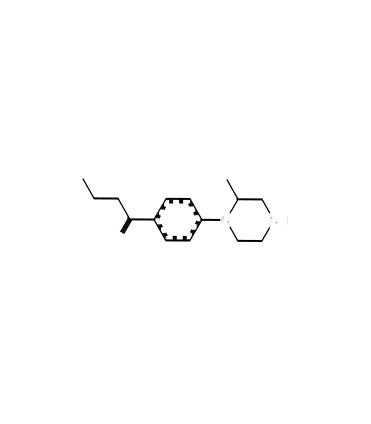 CCCC(=O)c1ccc(N2CCNCC2C)cc1